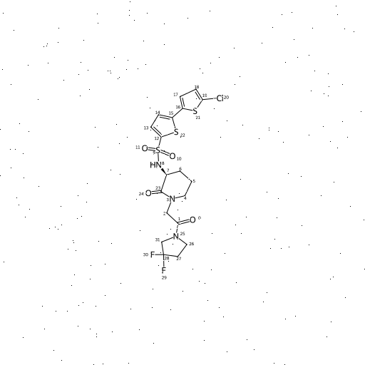 O=C(CN1CCC[C@H](NS(=O)(=O)c2ccc(-c3ccc(Cl)s3)s2)C1=O)N1CCC(F)(F)C1